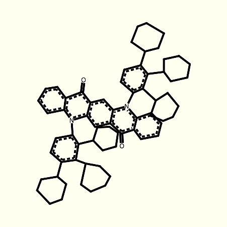 O=c1c2ccccc2n(-c2ccc(C3CCCCC3)c(C3CCCCC3)c2C2CCCCC2)c2cc3c(=O)c4ccccc4n(-c4ccc(C5CCCCC5)c(C5CCCCC5)c4C4CCCCC4)c3cc12